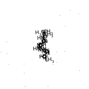 Cc1cc(F)cc(-c2nccc3[nH]c(-c4n[nH]c5ncc(-c6cncc(NC(=O)CC(C)(C)C)c6)cc45)nc23)c1